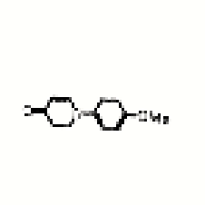 COC1=CC=C(N2C=CC(=O)CC2)CC1